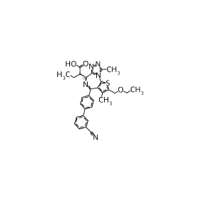 CCOCc1sc2c(c1C)C(c1ccc(-c3cccc(C#N)c3)cc1)=N[C@@H](C(CC)C(=O)O)c1nnc(C)n1-2